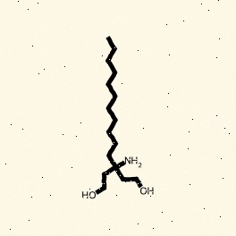 CCCCCCCCCCCC(N)(CCO)CCO